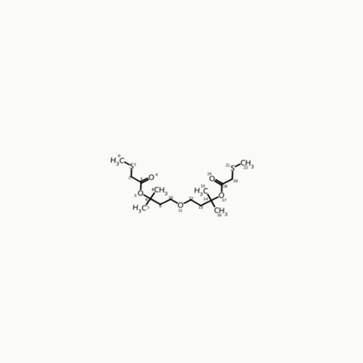 CSCC(=O)OC(C)(C)CCOCCC(C)(C)OC(=O)CSC